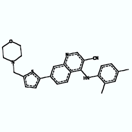 Cc1ccc(Nc2c(C#N)cnc3cc(-c4ccc(CN5CCOCC5)s4)ccc23)c(C)c1